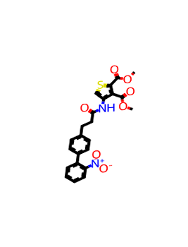 COC(=O)c1scc(NC(=O)CCc2ccc(-c3ccccc3[N+](=O)[O-])cc2)c1C(=O)OC